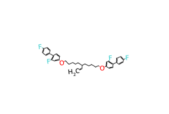 C=CC(CCCCCOc1ccc(-c2ccc(F)cc2)c(F)c1)CCCCCOc1ccc(-c2ccc(F)cc2)c(F)c1